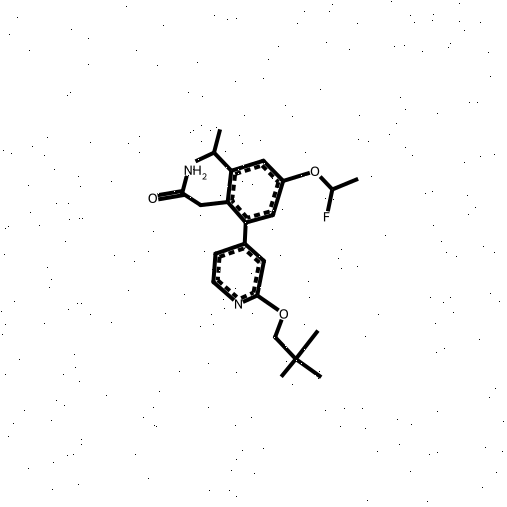 CC(F)Oc1cc(-c2ccnc(OCC(C)(C)C)c2)c(CC(N)=O)c(C(C)C)c1